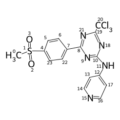 CS(=O)(=O)c1ccc(-c2nc(Nc3ccncc3)nc(C(Cl)(Cl)Cl)n2)cc1